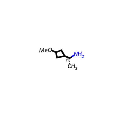 COC1CC([C@@H](C)N)C1